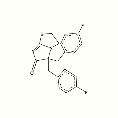 O=C1N=C2SCCN2C1(Cc1ccc(F)cc1)Cc1ccc(F)cc1